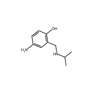 CC(C)NCc1cc(N)ccc1O